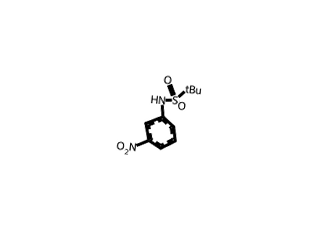 CC(C)(C)S(=O)(=O)Nc1cccc([N+](=O)[O-])c1